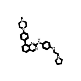 CN1CCN(c2ccc(-c3cccc4cnc(Nc5ccc(OCCN6CCCC6)cc5)nc34)cc2)CC1